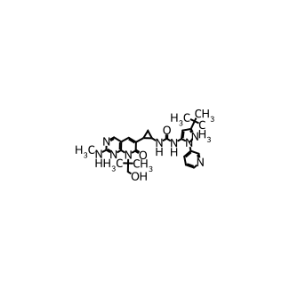 CNc1ncc2cc(C3CC3NC(=O)Nc3cc(C(C)(C)C)nn3-c3cccnc3)c(=O)n(C(C)(C)CO)c2n1